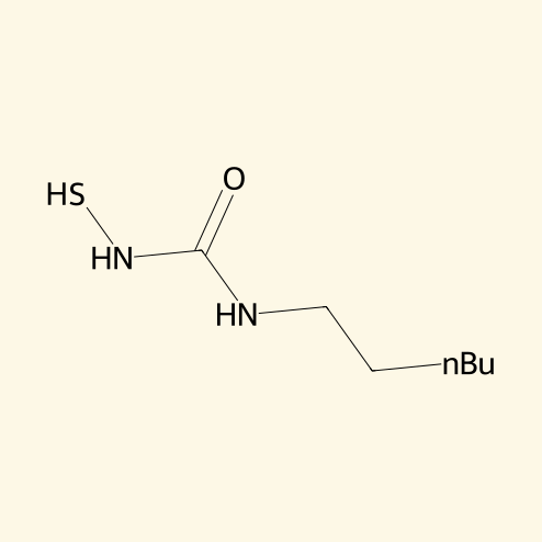 CCCCCCNC(=O)NS